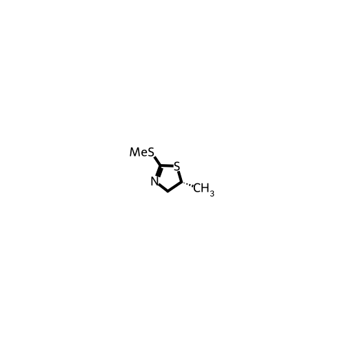 CSC1=NC[C@@H](C)S1